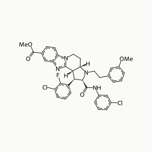 COC(=O)c1ccc2c(c1)nc1n2CC[C@H]2[C@@H]1[C@H](c1cccc(Cl)c1F)[C@H](C(=O)Nc1cccc(Cl)c1)N2CCc1cccc(OC)c1